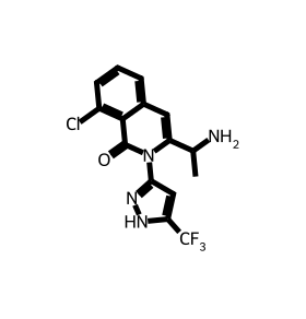 CC(N)c1cc2cccc(Cl)c2c(=O)n1-c1cc(C(F)(F)F)[nH]n1